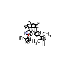 Cc1n[nH]c(C)c1-c1ccc(NC(=O)C(/C=N\C(=O)c2nonc2C(C)C)C2c3cc(F)c(F)cc3OCC23CC3)cn1